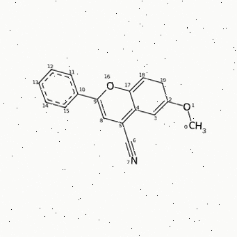 COC1=CC2=C(C#N)C=C(c3ccccc3)OC2=CC1